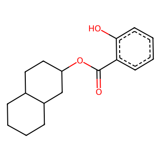 O=C(OC1CCC2CCCCC2C1)c1ccccc1O